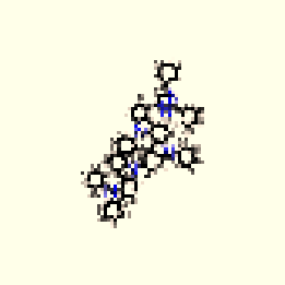 c1ccc(-c2cc(-c3cccc4c3c3ccc5c(c6cc(-n7c8ccccc8c8c7ccc7c9ccccc9n(-c9ccccc9)c78)ccc6n5-c5ccccc5)c3n4-c3ccccc3)nc(-c3ccccc3)n2)cc1